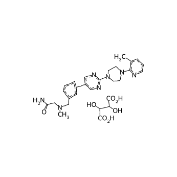 Cc1cccnc1N1CCN(c2ncc(-c3cccc(CN(C)CC(N)=O)c3)cn2)CC1.O=C(O)C(O)C(O)C(=O)O